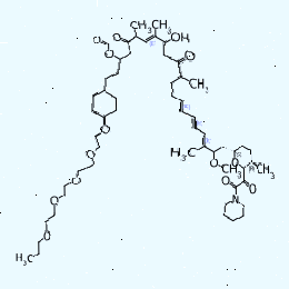 CCCOCCOCCOCCOCCOC1CCC(CCC(CC(=O)C(C)/C=C(\C)C(O)CC(=O)C(C)CC/C=C/C=C/C=C(\C)C(C[C@@H]2CC[C@@H](C)C(C(=O)C(=O)N3CCCCC3)O2)OC)OC=O)CC1